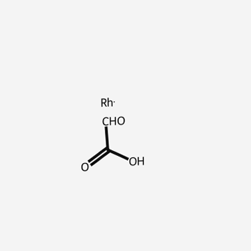 O=CC(=O)O.[Rh]